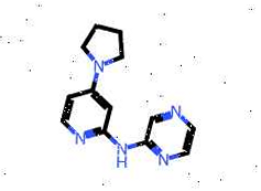 c1cnc(Nc2cc(N3CCCC3)ccn2)cn1